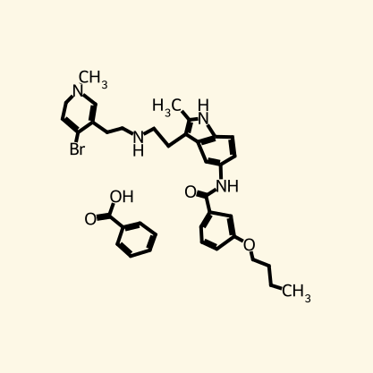 CCCCOc1cccc(C(=O)Nc2ccc3[nH]c(C)c(CCNCCC4=CN(C)CC=C4Br)c3c2)c1.O=C(O)c1ccccc1